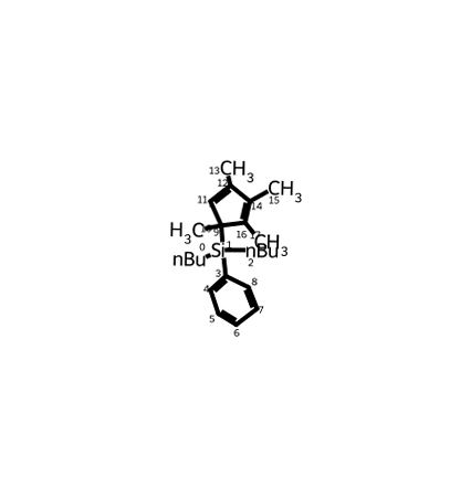 CCCC[Si](CCCC)(c1ccccc1)C1(C)[C]=C(C)C(C)=C1C